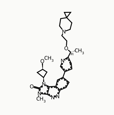 CO[C@H]1C[C@@H](n2c(=O)n(C)c3nnc4ccc(-c5ccc([C@@H](C)OCCN6CCC7(CC6)CC7)nc5)cc4c32)C1